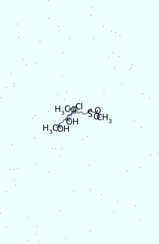 COC(=O)c1ccc(CCC[C@@H]2[C@@H](/C=C/[C@@H](O)CCC[C@@H](C)O)[C@H](C)C[C@H]2Cl)s1